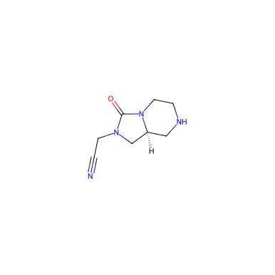 N#CCN1C[C@@H]2CNCCN2C1=O